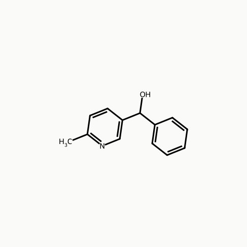 Cc1ccc(C(O)c2ccccc2)cn1